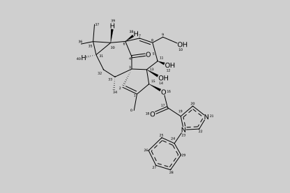 CC1=C[C@]23C(=O)[C@@H](C=C(CO)[C@@H](O)[C@]2(O)[C@H]1OC(=O)c1cncn1-c1ccccc1)[C@@H]1[C@@H](C[C@H]3C)C1(C)C